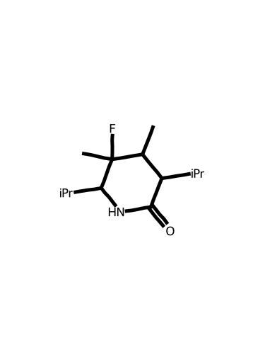 CC(C)C1C(=O)NC(C(C)C)C(C)(F)C1C